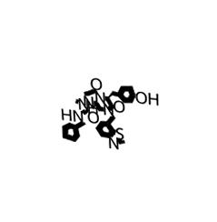 CN(C(=O)NCc1ccccc1)N1CC(=O)N2[C@@H](Cc3ccc(O)cc3)C(=O)N(Cc3cccc4ncsc34)C[C@@H]21